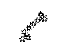 c1cc(-c2ccc(-c3ccc(-c4ccc(-n5c6ccccc6c6cnccc65)cc4)cn3)nc2)cc(-n2c3ccccc3c3cnccc32)c1